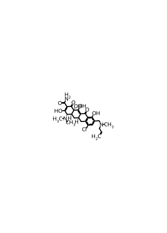 C=CCN(C)Cc1cc(Cl)c2c(c1O)C(=O)C1=C(O)[C@]3(O)C(=O)C(C(N)=O)=C(O)[C@@H](N(C)C)[C@@H]3C[C@@H]1C2